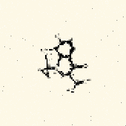 Cc1c(F)ccc2c(=O)c(C(=O)O)cn(C3(F)CC3)c12